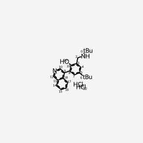 CC(C)(C)NCc1cc(C(C)(C)C)cc(-c2cncc3ccccc23)c1O.Cl.Cl